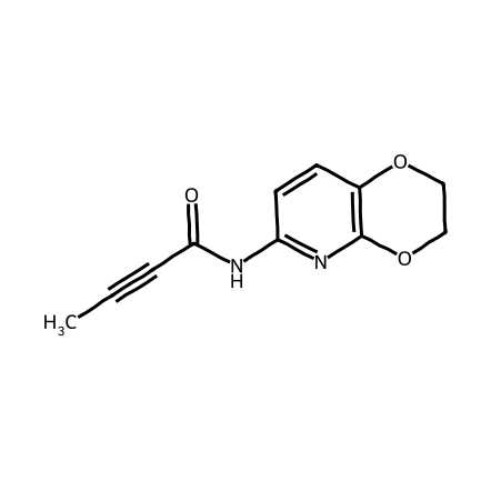 CC#CC(=O)Nc1ccc2c(n1)OCCO2